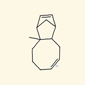 CC12CCC/C=C\CC1C1C=CC2C1